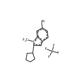 CC(C)c1ccc2cc(C3CCCC3)[s+](C(F)(F)F)c2c1.F[B-](F)(F)F